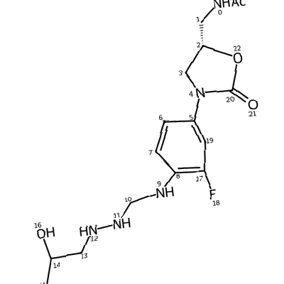 CC(=O)NC[C@H]1CN(c2ccc(NCNNCC(C)O)c(F)c2)C(=O)O1